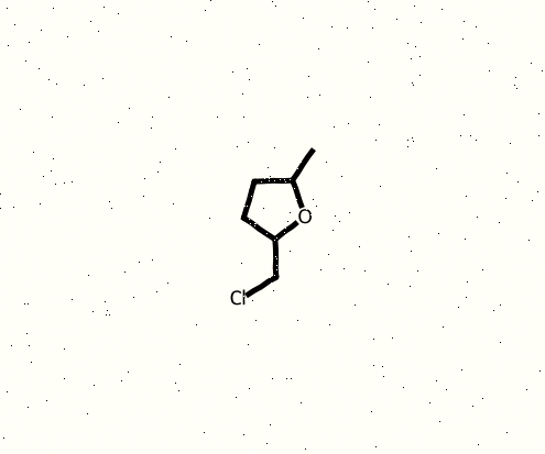 CC1CCC(CCl)O1